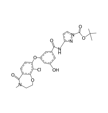 CN1CCOc2c(ccc(Oc3cc(O)cc(C(=O)Nc4ccn(C(=O)OC(C)(C)C)n4)c3)c2Cl)C1=O